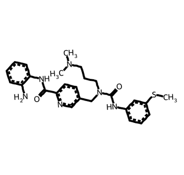 CSc1cccc(NC(=O)N(CCCN(C)C)Cc2ccc(C(=O)Nc3ccccc3N)nc2)c1